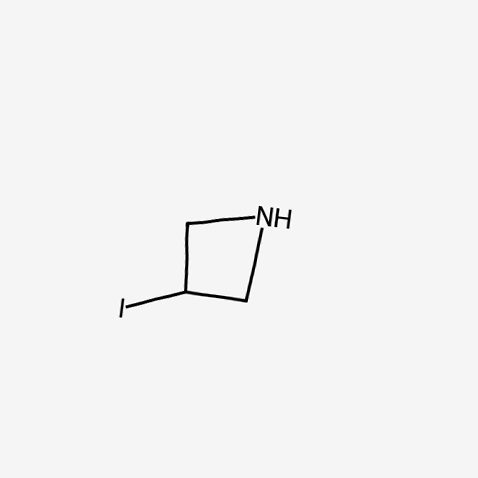 IC1CNC1